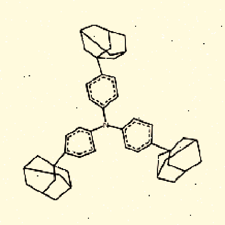 c1cc(C23CC4CC(CC(C4)C2)C3)ccc1N(c1ccc(C23CC4CC(CC(C4)C2)C3)cc1)c1ccc(C23CC4CC(CC(C4)C2)C3)cc1